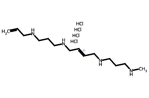 C=CCNCCCNC/C=C/CNCCCNC.Cl.Cl.Cl.Cl